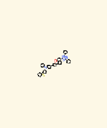 c1ccc(-c2nc(-c3ccccc3)nc(-c3ccc4c5c(cccc35)-c3ccc(-c5ccc(N(c6ccccc6)c6ccc7sc8ccccc8c7c6)cc5)cc3O4)n2)cc1